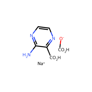 Nc1nccnc1C(=O)O.O=C([O-])O.[Na+]